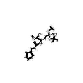 COC(O)[C@H](CC[PH](O)(OC(C)C)OC(C)(C)C)NC(=O)OCc1ccccc1